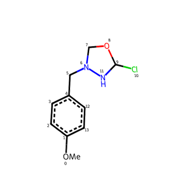 COc1ccc(CN2COC(Cl)N2)cc1